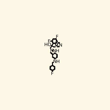 OC(CN1C=C2C=C(NCc3ccc(F)cc3)C=CC2N1)(Cn1cncn1)c1ccc(F)cc1F